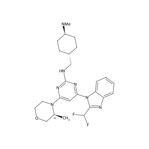 CN[C@H]1CC[C@H](CNc2nc(N3CCOC[C@@H]3C)cc(-n3c(C(F)F)nc4ccccc43)n2)CC1